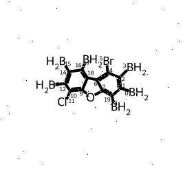 Bc1c(B)c(Br)c2c(oc3c(Cl)c(B)c(B)c(B)c32)c1B